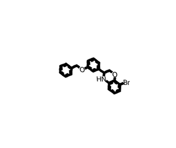 Brc1cccc2c1OCC(c1cccc(OCc3ccccc3)c1)N2